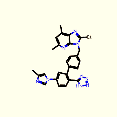 CCc1nc2c(C)cc(C)nc2n1Cc1ccc(-c2cc(-n3cnc(C)c3)ccc2-c2nnn[nH]2)cc1